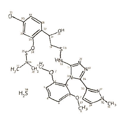 COc1cccc(OC)c1-n1c(NSCC(O)c2ccc(Cl)cc2OSN(C)C)nnc1-c1ccn(C)n1.S